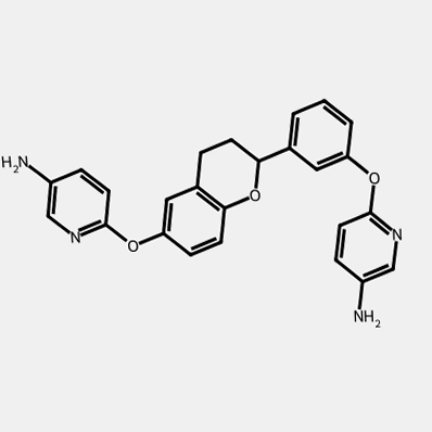 Nc1ccc(Oc2cccc(C3CCc4cc(Oc5ccc(N)cn5)ccc4O3)c2)nc1